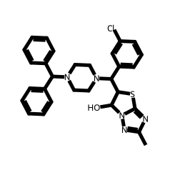 Cc1nc2n(n1)C(O)C(C(c1cccc(Cl)c1)N1CCN(C(c3ccccc3)c3ccccc3)CC1)S2